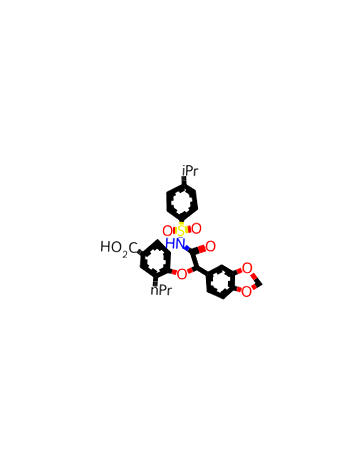 CCCc1cc(C(=O)O)ccc1OC(C(=O)NS(=O)(=O)c1ccc(C(C)C)cc1)c1ccc2c(c1)OCO2